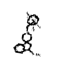 CC(=O)NC1CC2(CCN(C[C@H]3C[C@H]4C=C[C@H]3CC4)CC2)c2ccccc21